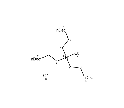 CCCCCCCCCCCC[N+](CC)(CCCCCCCCCCCC)CCCCCCCCCCCC.[Cl-]